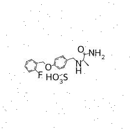 CS(=O)(=O)O.C[C@@H](NCc1ccc(OCc2ccccc2F)cc1)C(N)=O